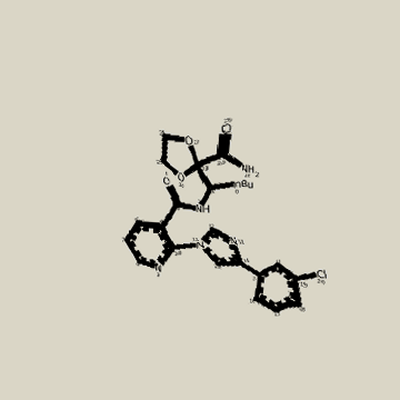 CCCCC(NC(=O)c1cccnc1-n1cnc(-c2cccc(Cl)c2)c1)C1(C(N)=O)OCCO1